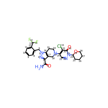 NC(=O)c1nn(Cc2ccccc2C(F)F)c2c1CN(c1cnn(C3CCCCO3)c(=O)c1Cl)CC2